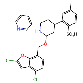 Cc1ccc(S(=O)(=O)O)c(C2CCNC(OCc3ccc(Cl)c4cc(Cl)oc34)C2)c1.c1ccncc1